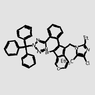 CCOC(=O)c1c(Cl)nc(CC)n1Cc1c2ccocc-2c(Br)c1-c1ccccc1-c1nnn(C(c2ccccc2)(c2ccccc2)c2ccccc2)n1